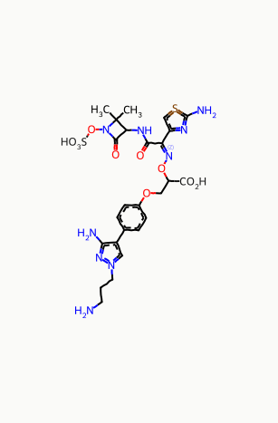 CC1(C)C(NC(=O)/C(=N\OC(COc2ccc(-c3cn(CCCN)nc3N)cc2)C(=O)O)c2csc(N)n2)C(=O)N1OS(=O)(=O)O